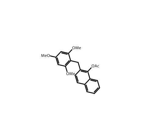 COc1cc(OC)c(Cc2ccc3ccccc3c2OC(C)=O)c(OC)c1